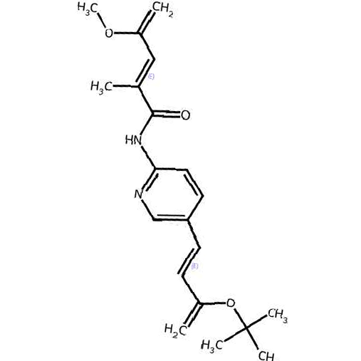 C=C(/C=C(\C)C(=O)Nc1ccc(/C=C/C(=C)OC(C)(C)C)cn1)OC